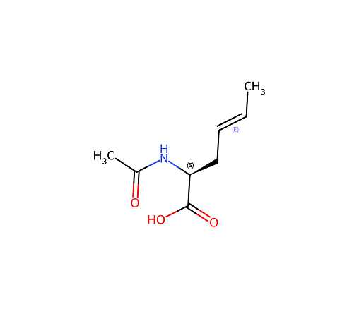 C/C=C/C[C@H](NC(C)=O)C(=O)O